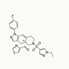 CCn1cc(S(=O)(=O)N2CCC3=Cc4c(cnn4-c4ccc(F)cc4)C[C@]3(C(=O)c3cscn3)C2)cn1